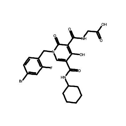 O=C(O)CNC(=O)c1c(O)c(C(=O)NC2CCCCC2)cn(Cc2ccc(Br)cc2F)c1=O